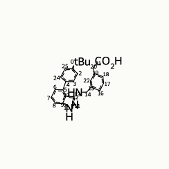 CC(C)(C)c1ccc(-c2cccc3[nH]nc(NCc4cccc(CC(=O)O)c4)c23)cc1